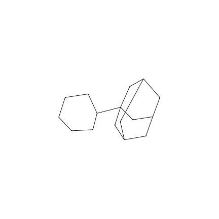 C1CCC(C23CC4CC(CC(C4)C2)C3)CC1